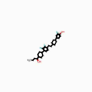 CCCC(O)C1CCC(c2ccc(CCC3CCC(c4ccc(O)c(F)c4)CC3)c(F)c2F)CC1